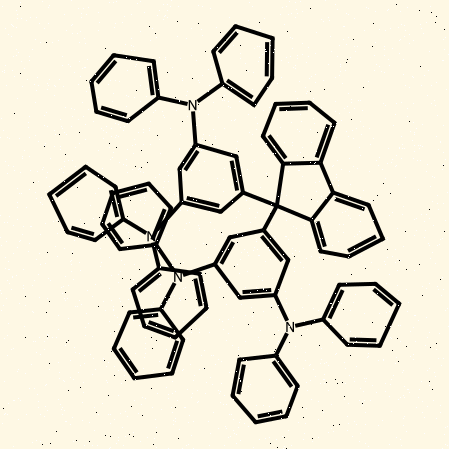 c1ccc(N(c2ccccc2)c2cc(N(c3ccccc3)c3ccccc3)cc(C3(c4cc(N(c5ccccc5)c5ccccc5)cc(N(c5ccccc5)c5ccccc5)c4)c4ccccc4-c4ccccc43)c2)cc1